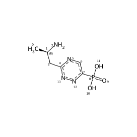 C[C@@H](N)Cc1ncc(P(=O)(O)O)nn1